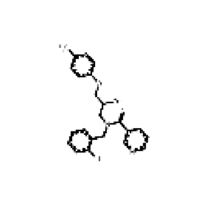 O=C(c1cccnc1)N(Cc1ccccc1Cl)CC(O)COc1ccc(C(F)(F)F)cc1